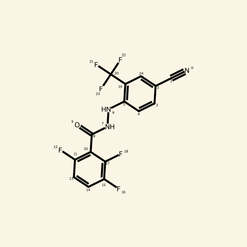 N#Cc1ccc(NNC(=O)c2c(F)ccc(F)c2F)c(C(F)(F)F)c1